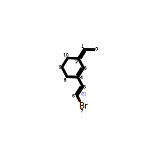 CC=C1C=C(/C=[C]/Br)CCC1